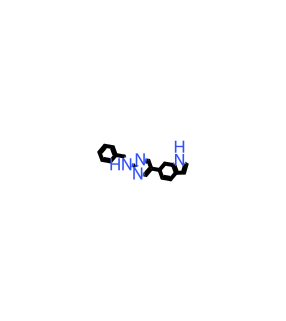 C1=CC(c2cnc(NCc3ccccc3)nc2)Cc2[nH]ccc21